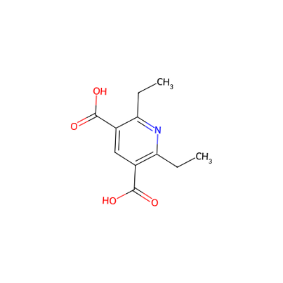 CCc1nc(CC)c(C(=O)O)cc1C(=O)O